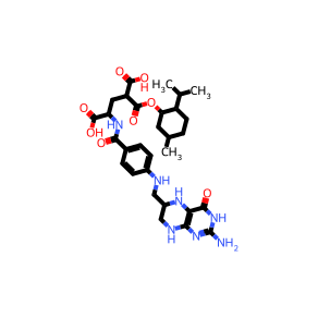 CC1CCC(C(C)C)C(OC(=O)C(CC(NC(=O)c2ccc(NCC3CNc4nc(N)[nH]c(=O)c4N3)cc2)C(=O)O)C(=O)O)C1